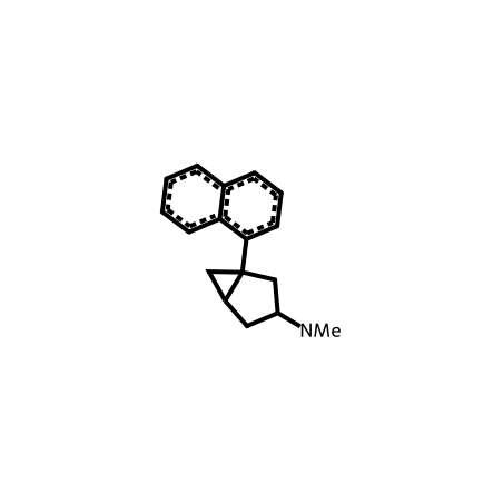 CNC1CC2CC2(c2cccc3ccccc23)C1